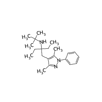 CCC(CC)(Cc1c(C)nn(-c2ccccc2)c1C)NC(C)(C)C